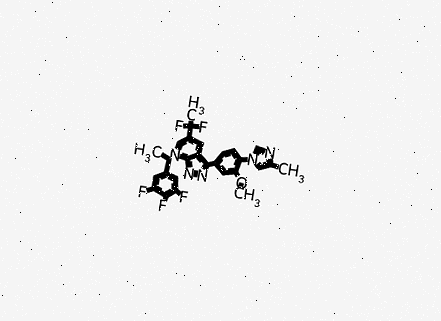 COc1cc(-c2nnc3n(C(C)c4cc(F)c(F)c(F)c4)cc(C(C)(F)F)cc2-3)ccc1-n1cnc(C)c1